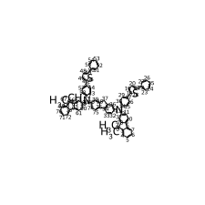 CC1(C)c2ccccc2-c2ccc(N(c3ccc(-c4ccc(-c5ccccc5)s4)cc3)c3ccc4c(c3)Cc3cc(N(c5ccc(-c6ccc(-c7ccccc7)s6)cc5)c5ccc6c(c5)C(C)(C)c5ccccc5-6)ccc3-4)cc21